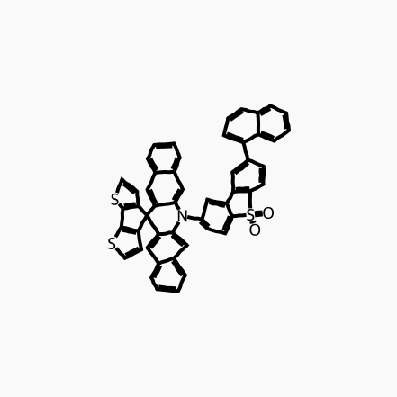 O=S1(=O)c2ccc(-c3cccc4ccccc34)cc2-c2cc(N3c4cc5ccccc5cc4C4(c5cc6ccccc6cc53)c3ccsc3-c3sccc34)ccc21